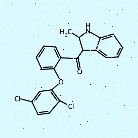 CC1Nc2ccccc2C1C(=O)c1ccccc1Oc1cc(Cl)ccc1Cl